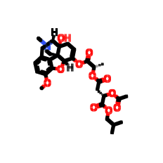 COc1ccc2c3c1O[C@H]1C(OC(=O)[C@H](C)OC(=O)C[C@H](OC(C)=O)C(=O)OCC(C)C)=CC[C@@]4(O)[C@@H](C2)N(C)CC[C@]314